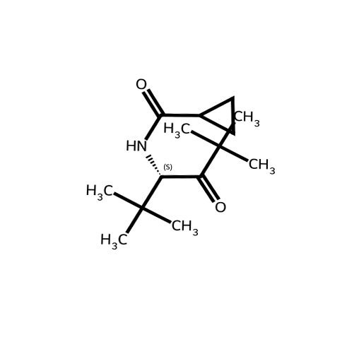 CC(C)(C)C(=O)[C@@H](NC(=O)C1CC1)C(C)(C)C